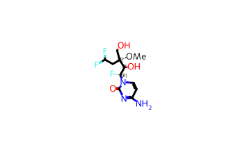 CO[C@@](CO)(CC(F)F)[C@@H](O)[C@@H](F)n1ccc(N)nc1=O